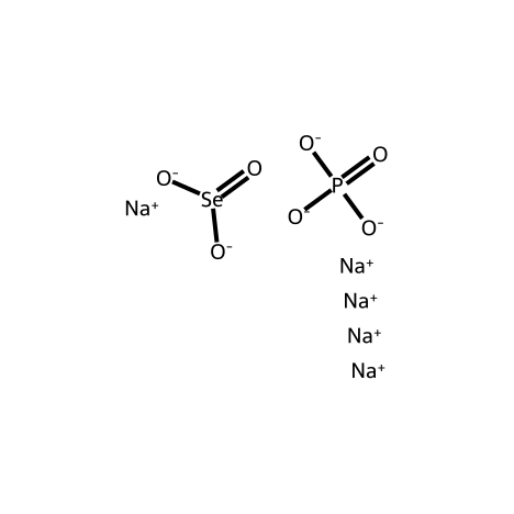 O=P([O-])([O-])[O-].O=[Se]([O-])[O-].[Na+].[Na+].[Na+].[Na+].[Na+]